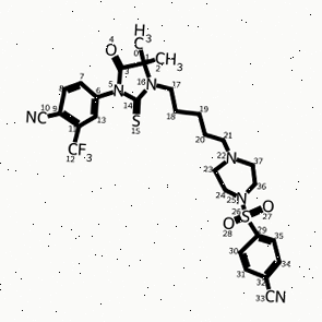 CC1(C)C(=O)N(c2ccc(C#N)c(C(F)(F)F)c2)C(=S)N1CCCCCN1CCN(S(=O)(=O)c2ccc(C#N)cc2)CC1